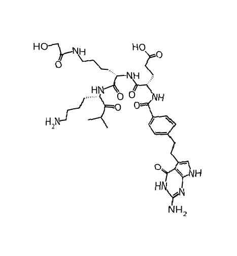 CC(C)C(=O)[C@H](CCCCN)NC(=O)[C@H](CCCCNC(=O)CO)NC(=O)[C@H](CCC(=O)O)NC(=O)c1ccc(CCc2c[nH]c3nc(N)[nH]c(=O)c23)cc1